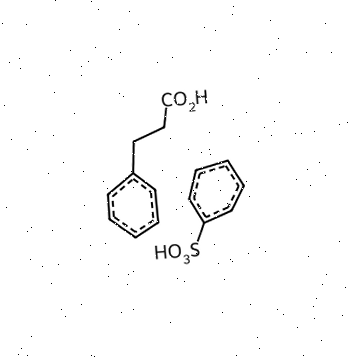 O=C(O)CCc1ccccc1.O=S(=O)(O)c1ccccc1